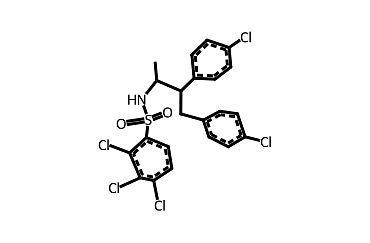 CC(NS(=O)(=O)c1ccc(Cl)c(Cl)c1Cl)C(Cc1ccc(Cl)cc1)c1ccc(Cl)cc1